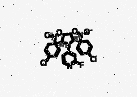 O=[N+]([O-])C1([C@H]2CC[C@H](C3([N+](=O)[O-])C=CC(Cl)=CC3)N2c2ccnc(F)c2)C=CC(Cl)=CC1